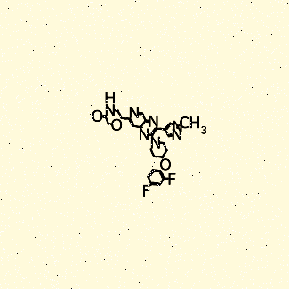 Cn1cc(-c2nc3cnc(C4CNC(=O)CO4)cc3nc2N2CCC(Oc3ccc(F)cc3F)CC2)cn1